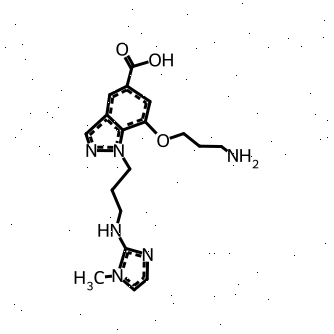 Cn1ccnc1NCCCn1ncc2cc(C(=O)O)cc(OCCCN)c21